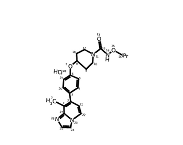 Cc1c(-c2ccc(OC3CCN(C(=O)NOC(C)C)CC3)cc2)ccn2ccnc12.Cl